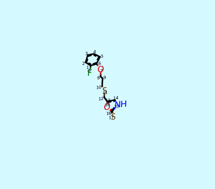 Fc1ccccc1OCCCSCc1c[nH]c(=S)o1